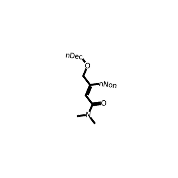 CCCCCCCCCCOC/C(=C/C(=O)N(C)C)CCCCCCCCC